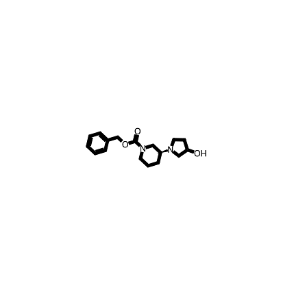 O=C(OCc1ccccc1)N1CCC[C@H](N2CCC(O)C2)C1